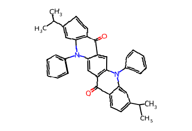 CC(C)c1ccc2c(=O)c3cc4c(cc3n(-c3ccccc3)c2c1)c(=O)c1ccc(C(C)C)cc1n4-c1ccccc1